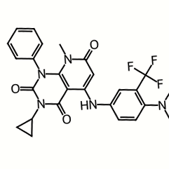 CN(C)c1ccc(Nc2cc(=O)n(C)c3c2c(=O)n(C2CC2)c(=O)n3-c2ccccc2)cc1C(F)(F)F